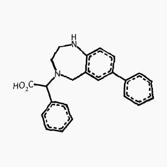 O=C(O)C(c1ccccc1)N1CCNc2ccc(-c3ccccc3)cc2C1